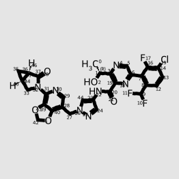 C[C@@H](O)c1ncc(-c2c(C(F)F)ccc(Cl)c2F)nc1C(=O)Nc1cnn(Cc2cnc(N3C[C@H]4C[C@H]4C3=O)c3c2OCO3)c1